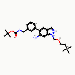 CC(C)(C)OC(=O)NCc1cccc(-c2cc3cnn(COCC[Si](C)(C)C)c3cc2N)c1